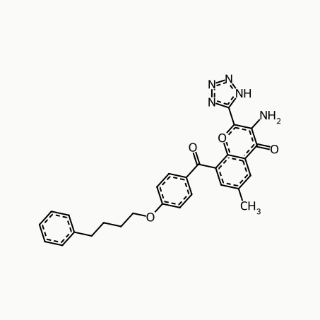 Cc1cc(C(=O)c2ccc(OCCCCc3ccccc3)cc2)c2oc(-c3nnn[nH]3)c(N)c(=O)c2c1